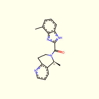 Cc1cccc2[nH]c(C(=O)N3CCc4ncccc4[C@@H]3C)nc12